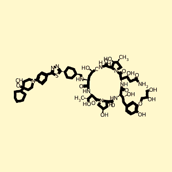 COC1(C2CCCCC2)CCN(c2ccc(-c3nnc([C@H]4CC[C@H](CN[C@H]5C[C@@H](O)CNC(=O)[C@@H]6[C@@H](O)[C@@H](C)CN6C(=O)[C@H]([C@H](O)CC(N)=O)NC(=O)[C@H]([C@H](O)Cc6ccc(O)c(OC[C@@H](O)CO)c6)NC(=O)[C@@H]6C[C@@H](O)CN6C(=O)[C@H]([C@@H](C)O)NC5=O)CC4)s3)cc2)CC1